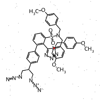 COc1ccc(CN(Cc2ccc(OC)cc2)S(=O)(=O)c2cccc(-c3ccc(C(CN=[N+]=[N-])CN=[N+]=[N-])cc3)c2-c2nnnn2Cc2ccc(OC)cc2)cc1